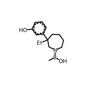 CCC1(c2cccc(O)c2)CCCCN(B(C)O)C1